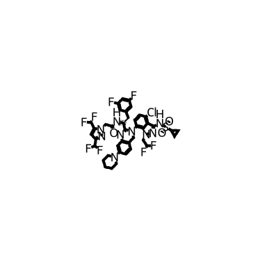 O=C(Cn1nc(C(F)F)cc1C(F)F)N[C@@H](Cc1cc(F)cc(F)c1)C1=Nc2cc(N3CCCCC3)ccc2CN1c1ccc(Cl)c2c(NS(=O)(=O)C3CC3)nn(CC(F)F)c12